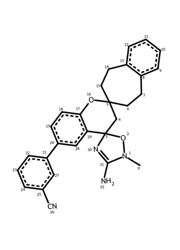 CN1OC2(CC3(CCc4ccccc4CC3)Oc3ccc(-c4cccc(C#N)c4)cc32)N=C1N